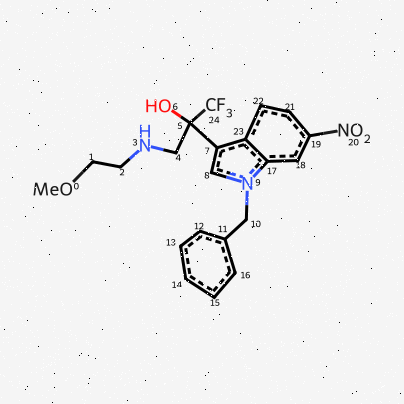 COCCNCC(O)(c1cn(Cc2ccccc2)c2cc([N+](=O)[O-])ccc12)C(F)(F)F